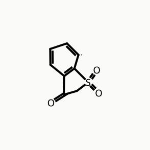 O=C1CS(=O)(=O)c2[c]cccc21